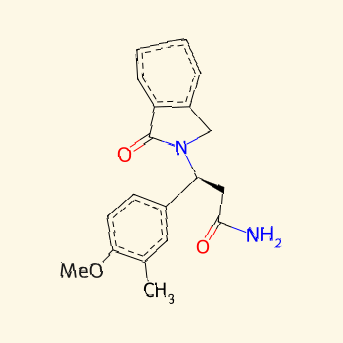 COc1ccc([C@H](CC(N)=O)N2Cc3ccccc3C2=O)cc1C